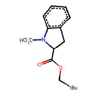 CC(C)(C)COC(=O)C1Cc2ccccc2N1C(=O)O